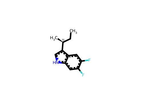 CC[C@H](C)c1c[nH]c2cc(F)c(F)cc12